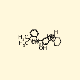 CC(C)(C)c1ccccc1Nc1cc2c(cc1O)[C@@]13CCCC[C@H]1[C@@H](C2)NCC3